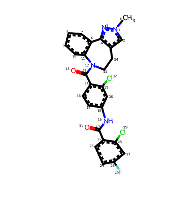 Cn1cc2c(n1)-c1ccccc1N(C(=O)c1ccc(NC(=O)c3ccc(F)cc3Cl)cc1Cl)CC2